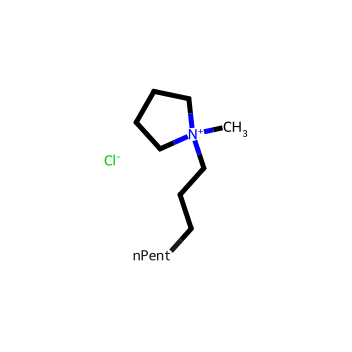 CCCCCCCC[N+]1(C)CCCC1.[Cl-]